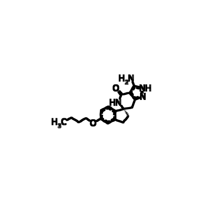 CCCCOc1ccc2c(c1)CC[C@]21Cc2n[nH]c(N)c2C(=O)N1